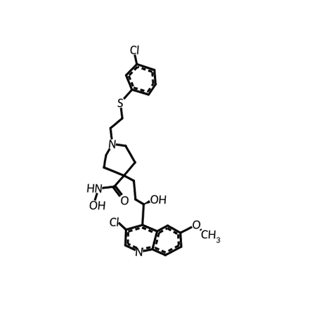 COc1ccc2ncc(Cl)c([C@H](O)CCC3(C(=O)NO)CCN(CCSc4cccc(Cl)c4)CC3)c2c1